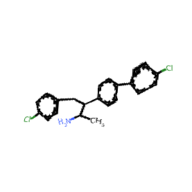 CC(N)C(Cc1ccc(Cl)cc1)c1ccc(-c2ccc(Cl)cc2)cc1